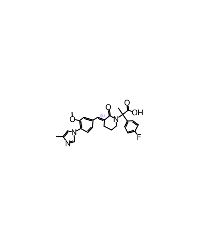 COc1cc(/C=C2\CCCN(C(C)(C(=O)O)c3ccc(F)cc3)C2=O)ccc1-n1cnc(C)c1